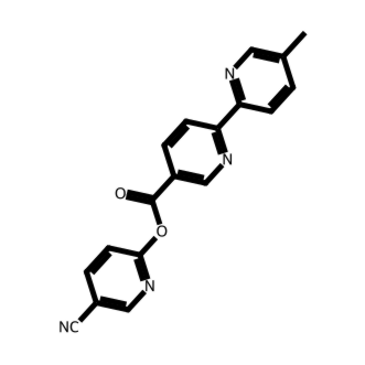 Cc1ccc(-c2ccc(C(=O)Oc3ccc(C#N)cn3)cn2)nc1